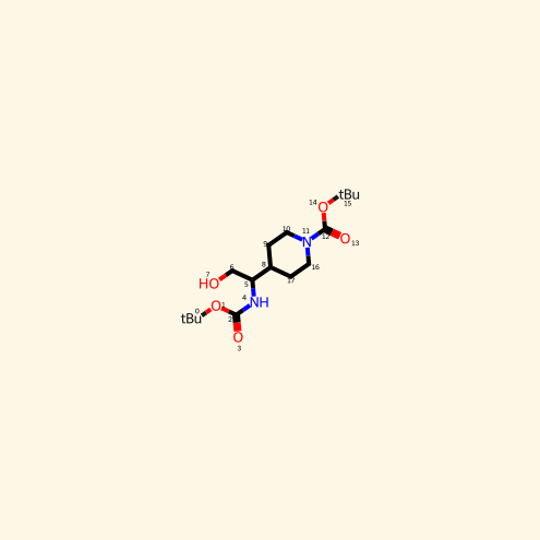 CC(C)(C)OC(=O)NC(CO)C1CCN(C(=O)OC(C)(C)C)CC1